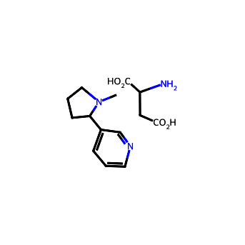 CN1CCCC1c1cccnc1.NC(CC(=O)O)C(=O)O